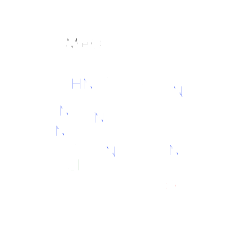 COc1cc2c(cc1Nc1nnc(Cl)c(-n3cc(C(=O)N(C)C)c4ccccc43)n1)CN(C)CC2